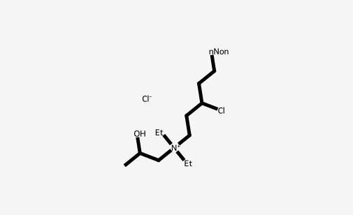 CCCCCCCCCCCC(Cl)CC[N+](CC)(CC)CC(C)O.[Cl-]